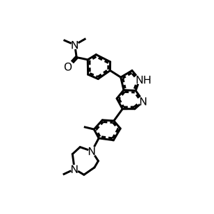 Cc1cc(-c2cnc3[nH]cc(-c4ccc(C(=O)N(C)C)cc4)c3c2)ccc1N1CCCN(C)CC1